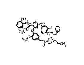 CCCN1CCN(C(=O)CCc2ccc(Oc3nc(Nc4ccc(OCCCN5CCCCC5)c(F)c4)ncc3C(=O)Nc3c(C)cccc3C)c(OC)c2)CC1